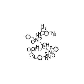 CCCCN(C(=O)Cc1ccccc1)c1nnc(-c2ccc(CN3CCC3)cc2C)s1.CCCCN(C(=O)c1ccccc1F)c1nnc(-c2ccc(CN3CCC(C(=O)O)C3)cc2)s1